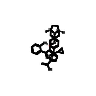 Cc1ccccc1-c1noc(C2CC2)c1CO[C@H]1C[C@H]2CC[C@@H](C1)N2c1ccc(-c2ccc(C(=O)O)s2)cc1